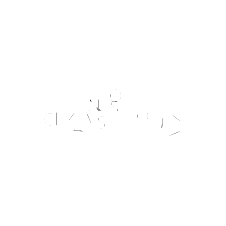 [O-][S+](CCOCc1ccccc1)c1nc2cc(Cl)ccc2s1